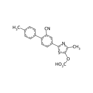 Cc1ccc(-c2ccc(-c3nc(C)c(OC(=O)O)s3)cc2C#N)cc1